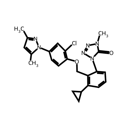 Cc1cc(C)n(-c2ccc(OCc3c(C4CC4)cccc3-n3nnn(C)c3=O)c(Cl)c2)n1